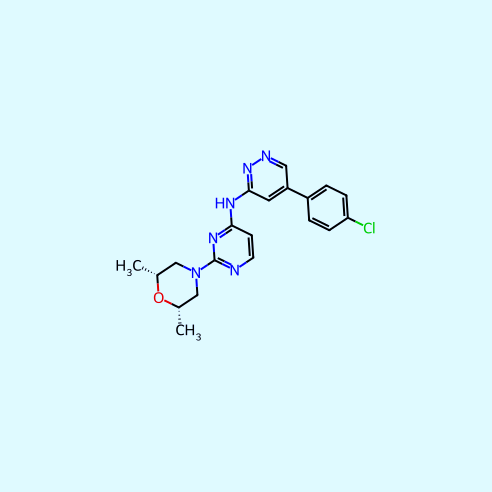 C[C@@H]1CN(c2nccc(Nc3cc(-c4ccc(Cl)cc4)cnn3)n2)C[C@H](C)O1